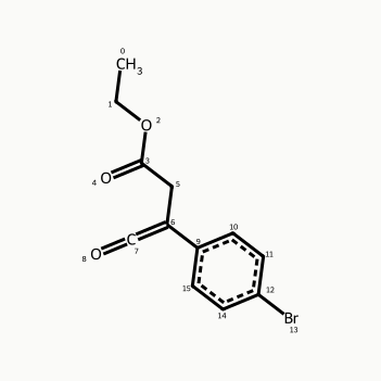 CCOC(=O)CC(=C=O)c1ccc(Br)cc1